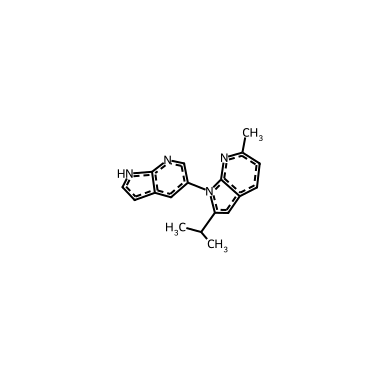 Cc1ccc2cc(C(C)C)n(-c3cnc4[nH]ccc4c3)c2n1